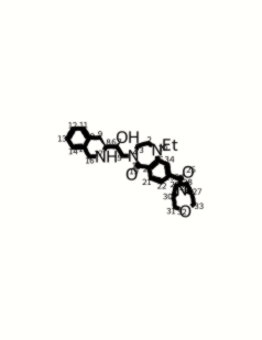 CCN1CCN(C[C@@H](O)[C@@H]2Cc3ccccc3CN2)C(=O)c2ccc(C(=O)N3C4CCC3COC4)cc21